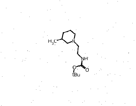 CC1CCCN(CCNC(=O)OC(C)(C)C)C1